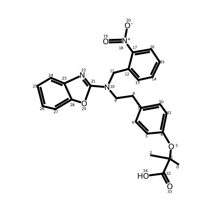 CC(C)(Oc1ccc(CCN(Cc2ccccc2[N+](=O)[O-])c2nc3ccccc3o2)cc1)C(=O)O